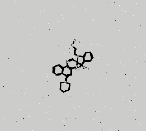 CC1(C)c2ccccc2N(CCON)C12C=Nc1c(cc(N3CCCCC3)c3ccccc13)O2